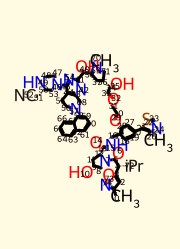 Cc1cc([C@H](C(=O)N2C[C@H](O)C[C@H]2C(=O)NCc2ccc(-c3scnc3C)cc2OCCOCC(O)[C@@H]2C[C@@H](C(O)c3nc4c(c(N5CCN[C@@H](CC#N)C5)n3)CCN(c3cccc5ccccc35)C4)N(C)C2)C(C)C)on1